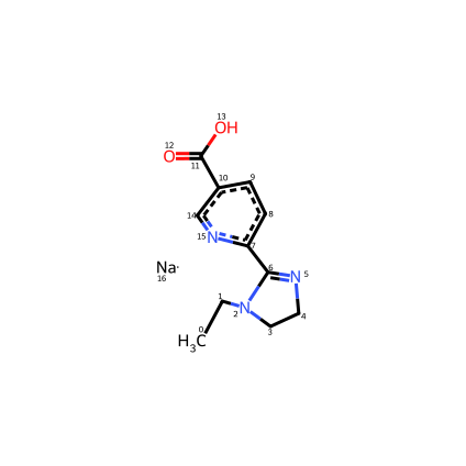 CCN1CCN=C1c1ccc(C(=O)O)cn1.[Na]